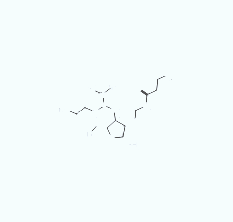 [2H]C[C@H]1O[C@@H](B)[C@@H](OCOC(=O)CCC(C)=O)C1OP(OCCC#N)N(C(C)C)C(C)C